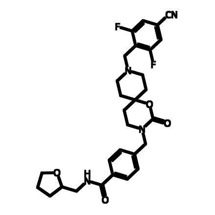 N#Cc1cc(F)c(CN2CCC3(CC2)CCN(Cc2ccc(C(=O)NCC4CCCO4)cc2)C(=O)O3)c(F)c1